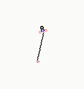 O=C1c2ccccc2C(=O)N1CCCCCCCCCCCCCCCCCCCCBr